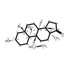 CC(=O)O.C[C@]12CC[C@H]3[C@@H](CC[C@@]4(Br)C[C@@H](O)CC[C@]34CO)[C@@H]1CCC2=O